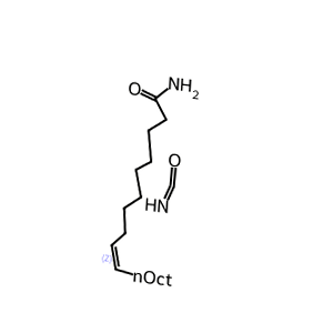 CCCCCCCC/C=C\CCCCCCCC(N)=O.N=C=O